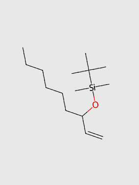 C=CC(CCCCCC)O[Si](C)(C)C(C)(C)C